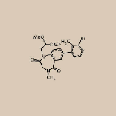 COC(CN1C(=O)CN(C)C(=O)c2cc(-c3cccc(Br)c3C)ccc21)OC